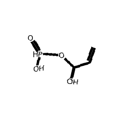 C=CC(O)O[PH](=O)O